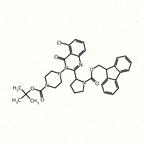 CC(C)(C)OC(=O)N1CCN(n2c(C3CCCN3C(=O)OCC3c4ccccc4-c4ccccc43)nc3cccc(Cl)c3c2=O)CC1